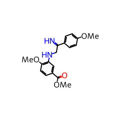 COC(=O)c1ccc(OC)c(NCC(=N)c2ccc(OC)cc2)c1